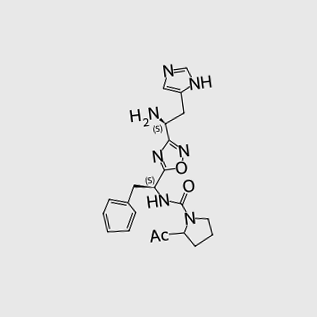 CC(=O)C1CCCN1C(=O)N[C@@H](Cc1ccccc1)c1nc([C@@H](N)Cc2cnc[nH]2)no1